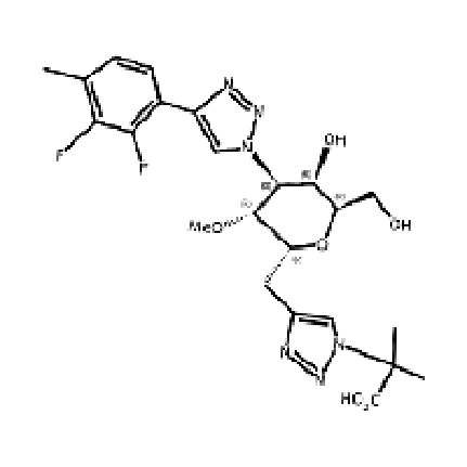 CO[C@@H]1[C@@H](n2cc(-c3ccc(C)c(F)c3F)nn2)[C@@H](O)[C@@H](CO)O[C@@H]1Cc1cn(C(C)(C)C(=O)O)nn1